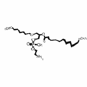 CCCCCCCC/C=C\CCCCCCCC(=O)OC(COCCCCCCCCCCCCCCCC)COP(=O)(O)OCCN